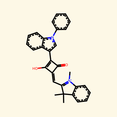 C[N+]1=C(/C=C2\C(=O)C(c3cn(-c4ccccc4)c4ccccc34)=C2O)C(C)(C)c2ccccc21